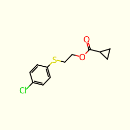 O=C(OCCSc1ccc(Cl)cc1)C1CC1